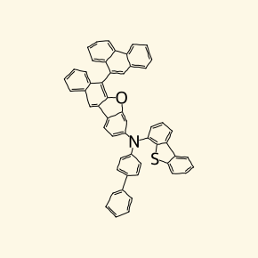 c1ccc(-c2ccc(N(c3ccc4c(c3)oc3c(-c5cc6ccccc6c6ccccc56)c5ccccc5cc34)c3cccc4c3sc3ccccc34)cc2)cc1